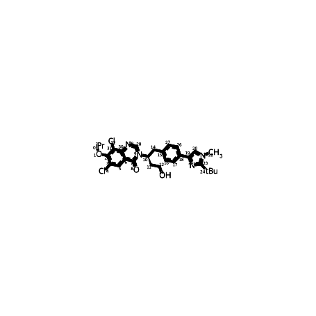 CC(C)Oc1c(Cl)cc2c(=O)n([C@H](CCO)Cc3ccc(-c4cn(C)c(C(C)(C)C)n4)cc3)cnc2c1Cl